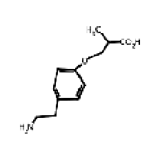 CC(COc1ccc(CCN)cc1)C(=O)O